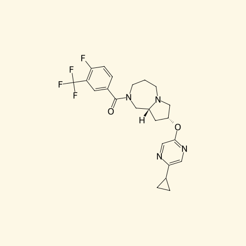 O=C(c1ccc(F)c(C(F)(F)F)c1)N1CCCN2C[C@H](Oc3cnc(C4CC4)cn3)C[C@@H]2C1